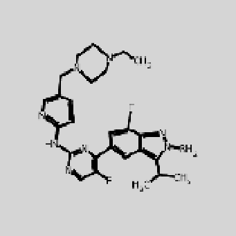 Bn1nc2c(F)cc(-c3nc(Nc4ccc(CN5CCN(CC)CC5)cn4)ncc3F)cc2c1C(C)C